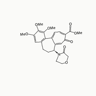 COC(=O)c1ccc2c(cc1=O)[C@@H](N1CCOCC1=O)CCc1cc(OC)c(OC)c(OC)c1-2